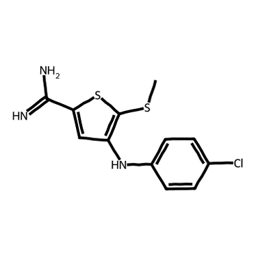 CSc1sc(C(=N)N)cc1Nc1ccc(Cl)cc1